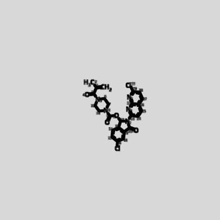 C=C(C)C(=O)N1CCN(C(=O)OC2c3ccc(Cl)cc3C(=O)N2c2ccc3ccc(Cl)nc3n2)CC1